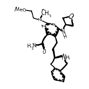 COCCN(C)c1nc(NC2COC2)c(CCC2Cc3ccccc3CN2)c(C(N)=O)n1